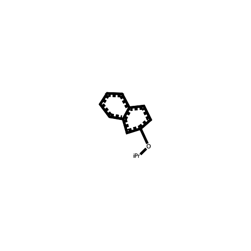 CC(C)Oc1ccc2[c][c]ccc2c1